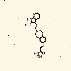 CC(C)(C)c1[nH]c2ncccc2c1CCN1CCc2ccc(C=CC(=O)NO)cc2CC1